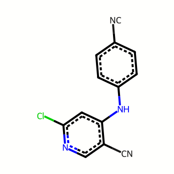 [C-]#[N+]c1ccc(Nc2cc(Cl)ncc2C#N)cc1